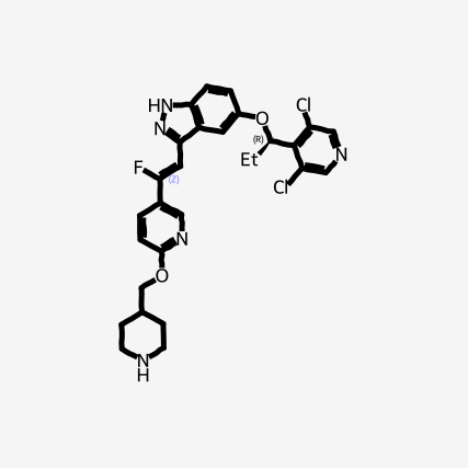 CC[C@@H](Oc1ccc2[nH]nc(/C=C(\F)c3ccc(OCC4CCNCC4)nc3)c2c1)c1c(Cl)cncc1Cl